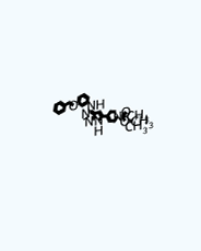 CC(C)(C)OC(=O)N1CC=C(c2cc3c(Nc4cccc(OCc5ccccc5)c4)ncnc3[nH]2)CC1